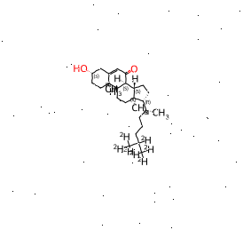 [2H]C([2H])([2H])C([2H])(CCC[C@@H](C)[C@H]1CC[C@H]2[C@@H]3C(=O)C=C4C[C@@H](O)CC[C@]4(C)[C@H]3CC[C@]12C)C([2H])([2H])[2H]